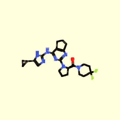 O=C([C@H]1CCCN1c1nc2c(c(Nc3ncc(C4CC4)[nH]3)n1)CCC2)N1CCC(F)(F)CC1